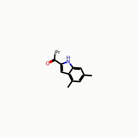 Cc1cc(C)c2cc(C(=O)C(C)C)[nH]c2c1